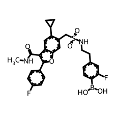 CNC(=O)c1c(-c2ccc(F)cc2)oc2cc(CS(=O)(=O)NCCc3ccc(B(O)O)c(F)c3)c(C3CC3)cc12